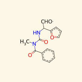 CN(C(=O)NC([C]=O)c1ccco1)C(=O)c1ccccc1